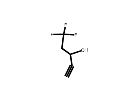 C#CC(O)CC(F)(F)F